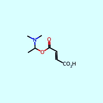 CC(OC(=O)C=CC(=O)O)N(C)C